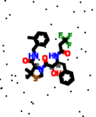 Cc1ccccc1CNC(=O)[C@H]1N(C(=O)[C@@H](O)[C@H](Cc2ccccc2)NC(=O)CC(F)(F)F)CSC1(C)C